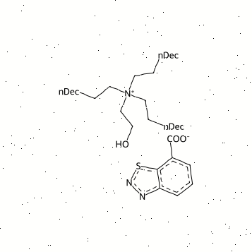 CCCCCCCCCCCC[N+](CCO)(CCCCCCCCCCCC)CCCCCCCCCCCC.O=C([O-])c1cccc2nnsc12